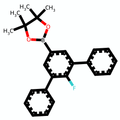 CC1(C)OB(c2cc(-c3ccccc3)c(F)c(-c3ccccc3)c2)OC1(C)C